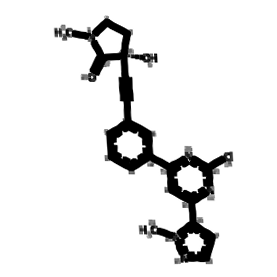 CN1CC[C@@](O)(C#Cc2cccc(-c3cc(-c4ccnn4C)nc(Cl)n3)c2)C1=O